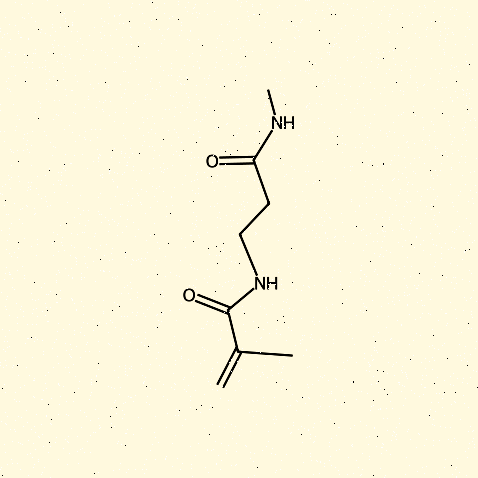 C=C(C)C(=O)NCCC(=O)NC